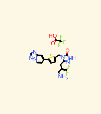 NCC(Cc1n[nH]c(=O)n1Cc1ccc(-c2ccn3ncnc3c2)s1)=C(F)F.O=C(O)C(F)(F)F